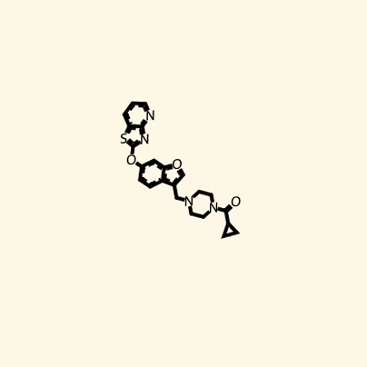 O=C(C1CC1)N1CCN(Cc2coc3cc(Oc4nc5ncccc5s4)ccc23)CC1